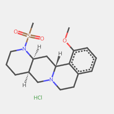 COc1cccc2c1[C@H]1C[C@H]3[C@H](CCCN3S(C)(=O)=O)CN1CC2.Cl